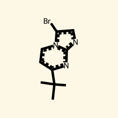 CC(C)(C)c1ccn2c(Br)cnc2n1